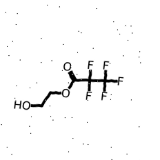 O=C(OCCO)C(F)(F)C(F)(F)F